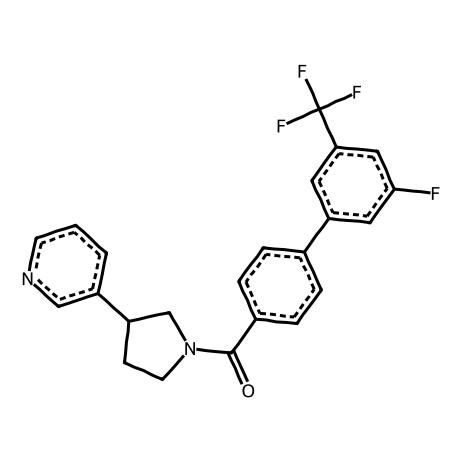 O=C(c1ccc(-c2cc(F)cc(C(F)(F)F)c2)cc1)N1CCC(c2cccnc2)C1